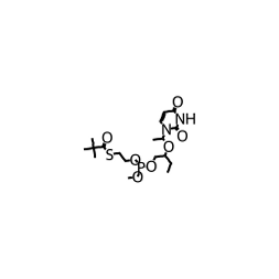 CCC(COP(OC)OCCSC(=O)C(C)(C)C)OC(C)n1ccc(=O)[nH]c1=O